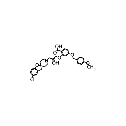 COc1ccc(COc2ccc(C(=O)O)c(OC[C@H](O)CN3CCC4(CC3)Cc3cc(Cl)ccc3O4)c2)cc1